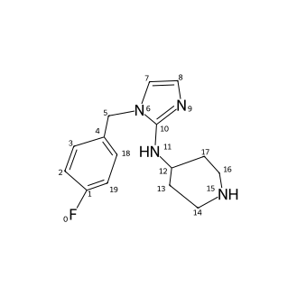 Fc1ccc(Cn2ccnc2NC2CCNCC2)cc1